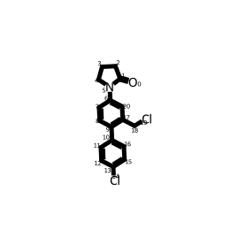 O=C1CCCN1c1ccc(-c2ccc(Cl)cc2)c(CCl)c1